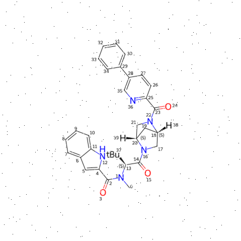 CN(C(=O)c1cc2ccccc2[nH]1)[C@H](C(=O)N1C[C@@H]2C[C@H]1CN2C(=O)c1ccc(-c2ccccc2)cn1)C(C)(C)C